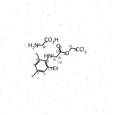 CCc1cc(C)cc(C)c1N[C@@H](C)C(=O)OCC(Cl)(Cl)Cl.NCC(=O)O